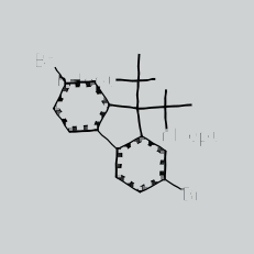 CCCCCCCC(C)(C)C1(C(C)(C)CCCCCCC)c2cc(Br)ccc2-c2ccc(Br)cc21